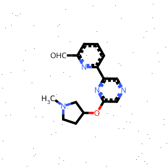 CN1CCC(Oc2cncc(-c3cccc(C=O)n3)n2)C1